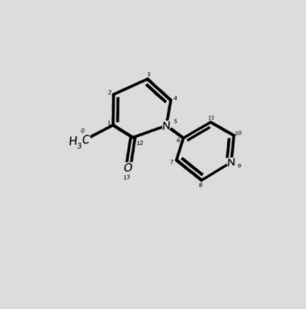 Cc1cccn(-c2ccncc2)c1=O